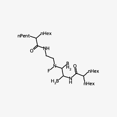 BC(NC(=O)C(CCCCCC)CCCCCC)C(B)N(F)CCNC(=O)C(CCCCC)CCCCCC